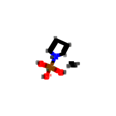 O=S(=O)([O-])n1cccc1.[Na+]